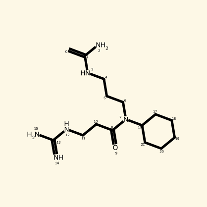 C=C(N)NCCCN(C(=O)CCNC(=N)N)C1CCCCC1